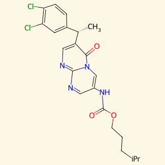 CC(C)CCCOC(=O)Nc1cnc2ncc([C@@H](C)c3ccc(Cl)c(Cl)c3)c(=O)n2c1